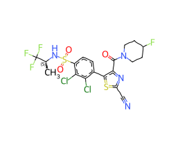 C[C@H](NS(=O)(=O)c1ccc(-c2sc(C#N)nc2C(=O)N2CCC(F)CC2)c(Cl)c1Cl)C(F)(F)F